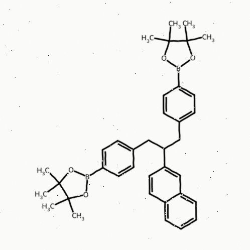 CC1(C)OB(c2ccc(CC(Cc3ccc(B4OC(C)(C)C(C)(C)O4)cc3)c3ccc4ccccc4c3)cc2)OC1(C)C